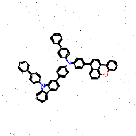 c1ccc(-c2ccc(N(c3ccc(-c4ccc5c6ccccc6n(-c6ccc(-c7ccccc7)cc6)c5c4)cc3)c3ccc(-c4ccc5c6c(cccc46)Oc4ccccc4-5)cc3)cc2)cc1